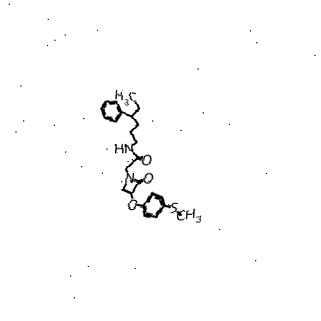 CCC(CCCNC(=O)CN1CC(Oc2ccc(SC)cc2)C1=O)c1ccccc1